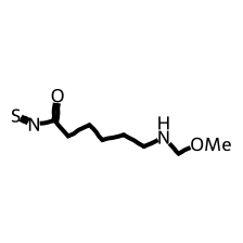 COCNCCCCCC(=O)N=S